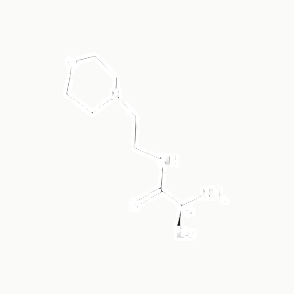 CCC(C)[C@H](N)C(=S)NCCN1CCOCC1